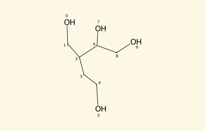 O[CH]C(CCO)C(O)CO